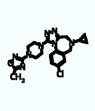 Cc1nc(N2CCN(c3nnc4n3-c3ccc(Cl)cc3CN(C3CC3)C4)CC2)no1